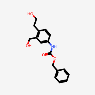 O=C(Nc1ccc(CCO)c(CO)c1)OCc1ccccc1